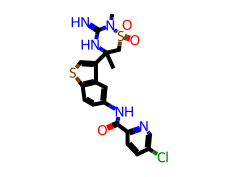 CN1C(=N)NC(C)(c2csc3ccc(NC(=O)c4ccc(Cl)cn4)cc23)CS1(=O)=O